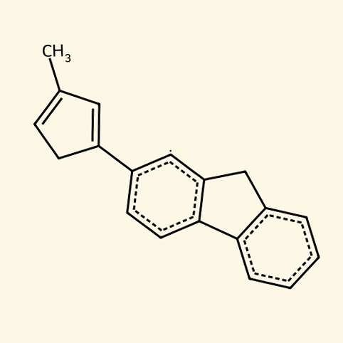 CC1=CCC(c2[c]c3c(cc2)-c2ccccc2C3)=C1